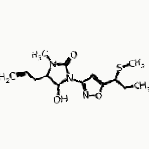 C=CCC1C(O)N(c2cc(C(CC)SC)on2)C(=O)N1C